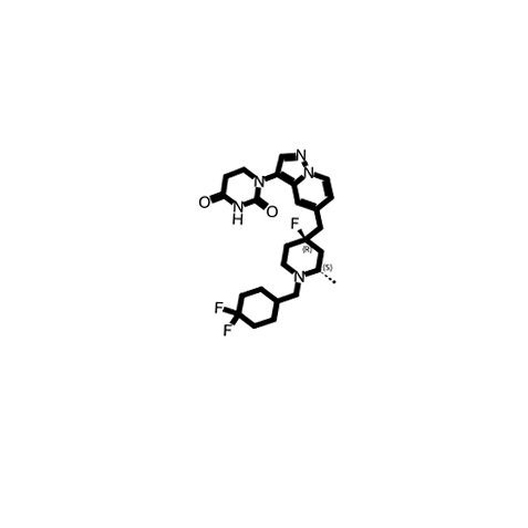 C[C@H]1C[C@@](F)(Cc2ccn3ncc(N4CCC(=O)NC4=O)c3c2)CCN1CC1CCC(F)(F)CC1